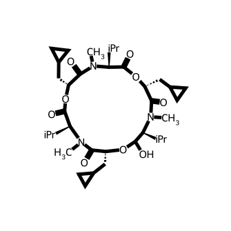 CC(C)[C@H]1C(O)O[C@H](CC2CC2)C(=O)N(C)[C@@H](C(C)C)C(=O)O[C@H](CC2CC2)C(=O)N(C)[C@@H](C(C)C)C(=O)O[C@H](CC2CC2)C(=O)N1C